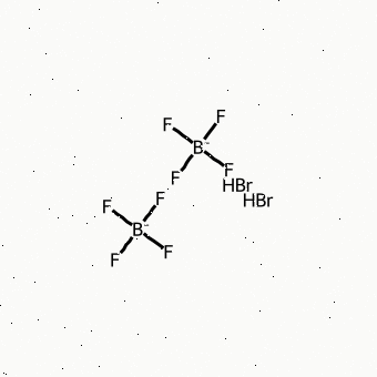 Br.Br.F[B-](F)(F)F.F[B-](F)(F)F